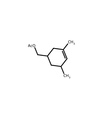 CC(=O)OCC1CC(C)=CC(C)C1